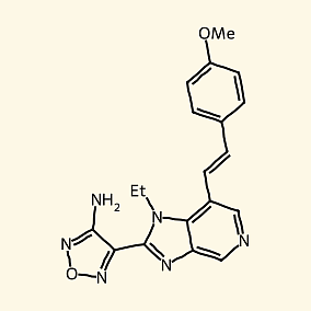 CCn1c(-c2nonc2N)nc2cncc(C=Cc3ccc(OC)cc3)c21